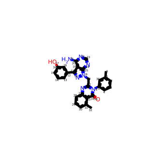 Cc1cccc(-n2c(Cn3nc(-c4cccc(O)c4)c4c(N)ncnc43)nc3cccc(C)c3c2=O)c1